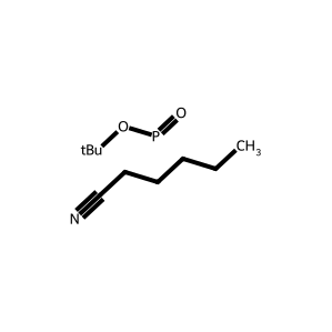 CC(C)(C)OP=O.CCCCCC#N